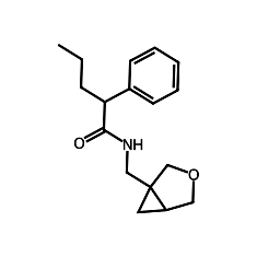 CCCC(C(=O)NCC12COCC1C2)c1ccccc1